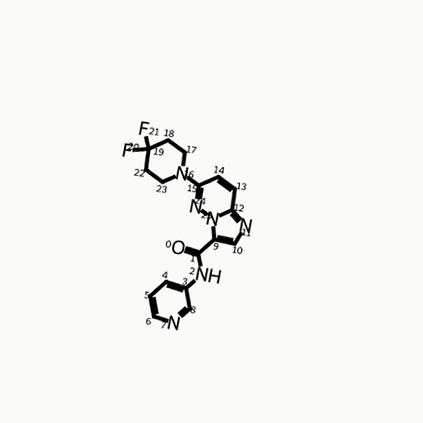 O=C(Nc1cccnc1)c1cnc2ccc(N3CCC(F)(F)CC3)nn12